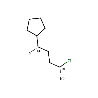 CC[C@@H](Cl)CC[C@H](C)C1CCCC1